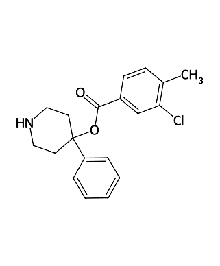 Cc1ccc(C(=O)OC2(c3ccccc3)CCNCC2)cc1Cl